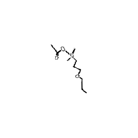 CCCOCCC[Si](C)(C)OC(C)=O